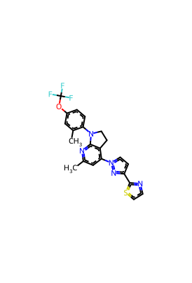 Cc1cc(-n2ccc(-c3nccs3)n2)c2c(n1)N(c1ccc(OC(F)(F)F)cc1C)CC2